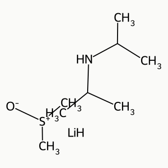 CC(C)NC(C)C.C[S+](C)[O-].[LiH]